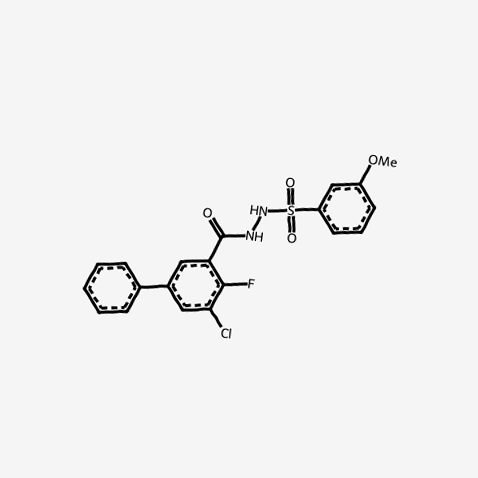 COc1cccc(S(=O)(=O)NNC(=O)c2cc(-c3ccccc3)cc(Cl)c2F)c1